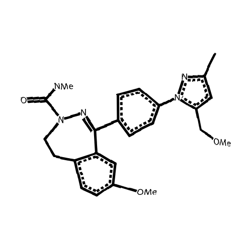 CNC(=O)N1CCc2ccc(OC)cc2C(c2ccc(-n3nc(C)cc3COC)cc2)=N1